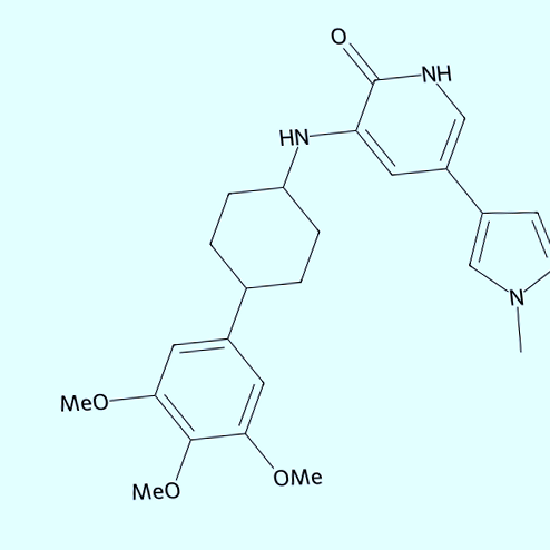 COc1cc(C2CCC(Nc3cc(-c4cnn(C)c4)c[nH]c3=O)CC2)cc(OC)c1OC